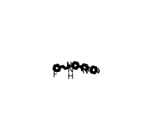 CN1CCN(c2ccc(-c3ccc4nc(CCc5cccc(F)c5)[nH]c4c3)cn2)CC1